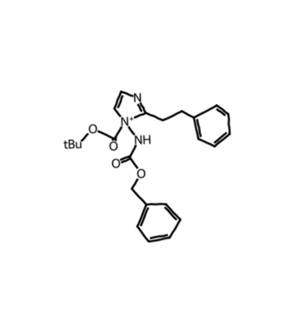 CC(C)(C)OC(=O)[N+]1(NC(=O)OCc2ccccc2)C=CN=C1CCc1ccccc1